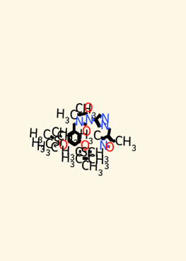 Cc1noc(C)c1Cn1cc(N2C(=O)N(Cc3cc(O[Si](C)(C)C(C)(C)C)cc(O[Si](C)(C)C(C)(C)C)c3)C(C)(C)C2=O)cn1